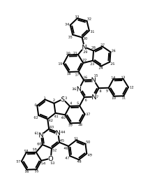 C1=CC2Sc3c(-c4nc(-c5ccccc5)nc(-c5cccc6c5c5ccccc5n6-c5ccccc5)n4)cccc3C2C(c2nc(-c3ccccc3)c3oc4ccccc4c3n2)=C1